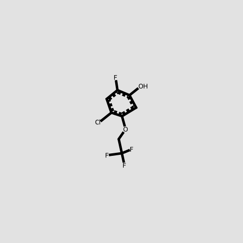 Oc1cc(OCC(F)(F)F)c(Cl)cc1F